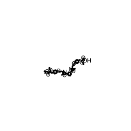 CCOC(Cc1ccc(OCCc2nc(-c3cccc(-c4nc(CCOc5ccc(C[C@H](OCC)C(=O)O)cc5)c(C)o4)c3)oc2C)cc1)C(=O)OC(C)C